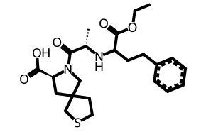 CCOC(=O)C(CCc1ccccc1)N[C@@H](C)C(=O)N1CC2(CCSC2)C[C@H]1C(=O)O